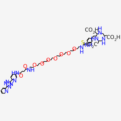 O=C(O)CC1CNC(CC(=O)O)C(Cc2ccc(NC(=S)NCCOCCOCCOCCOCCOCCOCCOCCNC(=O)CCC(=O)Nc3ccc(-c4nnc(-c5ccccn5)nn4)nc3)cc2)NC(CC(=O)O)CN1